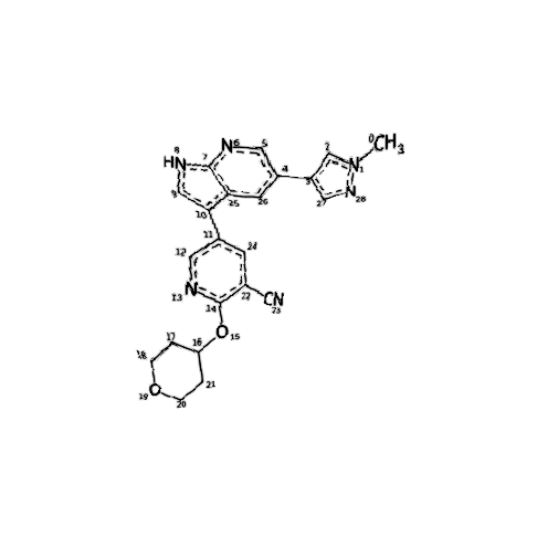 Cn1cc(-c2cnc3[nH]cc(-c4cnc(OC5CCOCC5)c(C#N)c4)c3c2)cn1